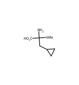 CSC(N)(CC1CC1)C(=O)O